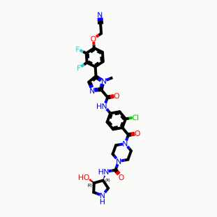 Cn1c(-c2ccc(OCC#N)c(F)c2F)cnc1C(=O)Nc1ccc(C(=O)N2CCN(C(=O)N[C@@H]3CNC[C@H]3O)CC2)c(Cl)c1